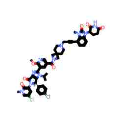 COc1ncc(C(=O)N2CC3(CCN(CC#Cc4cccc5c4n(C)c(=O)n5C4CCC(=O)NC4=O)CC3)C2)cc1-c1nc2c(n1C(C)C)[C@H](c1ccc(Cl)cc1)N(c1cc(Cl)cn(C)c1=O)C2=O